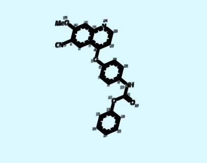 [C-]#[N+]c1cc2c(Oc3ccc(NC(=O)Oc4ccccc4)cc3)ccnc2cc1OC